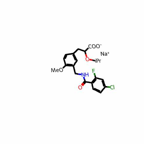 COc1ccc(CC(OC(C)C)C(=O)[O-])cc1CNC(=O)c1ccc(Cl)cc1F.[Na+]